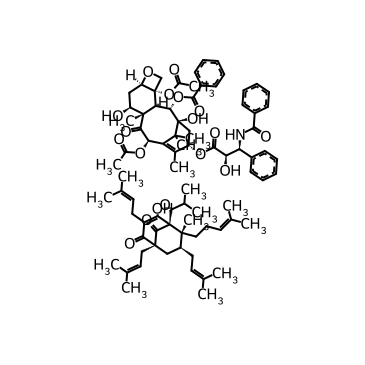 CC(=O)O[C@H]1C(=O)[C@@]2(C)[C@H]([C@H](OC(=O)c3ccccc3)[C@]3(O)C[C@H](OC(=O)[C@H](O)[C@@H](NC(=O)c4ccccc4)c4ccccc4)C(C)=C1C3(C)C)[C@]1(OC(C)=O)CO[C@@H]1C[C@@H]2O.CC(C)=CCC[C@]1(C)[C@@H](CC=C(C)C)C[C@]2(CC=C(C)C)C(=O)C(CC=C(C)C)=C(O)[C@@]1(C(=O)C(C)C)C2=O